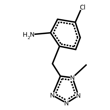 Cn1nnnc1Cc1ccc(Cl)cc1N